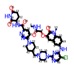 CNC(=O)COc1cc2cc(Nc3nc(N4CCN(CC5CCN(c6ccc(C(=O)NC7CCC(=O)NC7=O)nn6)CC5)CC4)ncc3Cl)ccc2n(C)c1=O